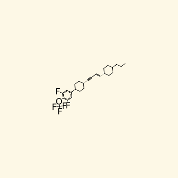 CCC[C@H]1CC[C@H](C=CC#C[C@H]2CC[C@H](c3cc(F)c(OC(F)(F)F)c(F)c3)CC2)CC1